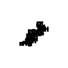 CCCS(=O)(=O)Nc1ccc(F)c(C(=O)Nc2cnc3[nH]nc(CC(F)(F)F)c3c2)c1F